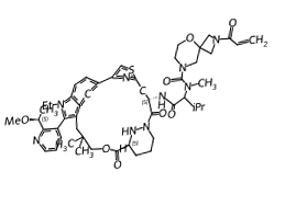 C=CC(=O)N1CC2(C1)CN(C(=O)N(C)C(C(=O)N[C@H]1Cc3nc(cs3)-c3ccc4c(c3)c(c(-c3cccnc3[C@H](C)OC)n4CC)CC(C)(C)COC(=O)[C@@H]3CCCN(N3)C1=O)C(C)C)CCO2